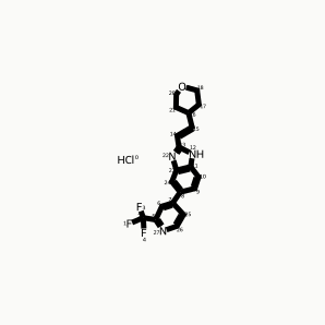 Cl.FC(F)(F)c1cc(-c2ccc3[nH]c(C=CC4CCOCC4)nc3c2)ccn1